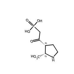 O=C(O)[C@H]1NCC[C@H]1C(=O)CP(=O)(O)O